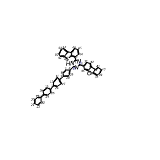 N=C(/N=C(\N=C\c1ccc(-c2ccc(-c3ccc(-c4ccccc4)cc3)cc2)cc1)c1ccc2c(c1)oc1ccccc12)c1cccc2c1sc1ccccc12